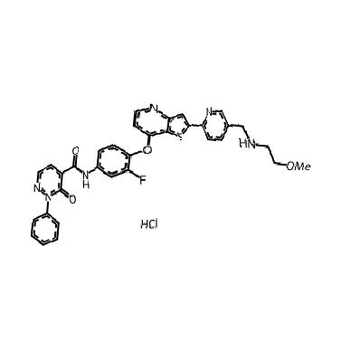 COCCNCc1ccc(-c2cc3nccc(Oc4ccc(NC(=O)c5ccnn(-c6ccccc6)c5=O)cc4F)c3s2)nc1.Cl